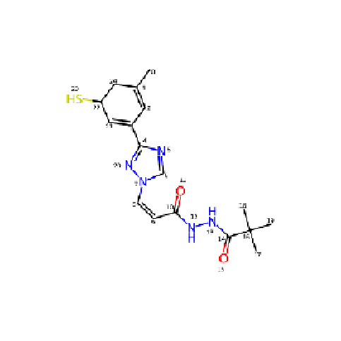 CC1=CC(c2ncn(/C=C\C(=O)NNC(=O)C(C)(C)C)n2)=CC(S)C1